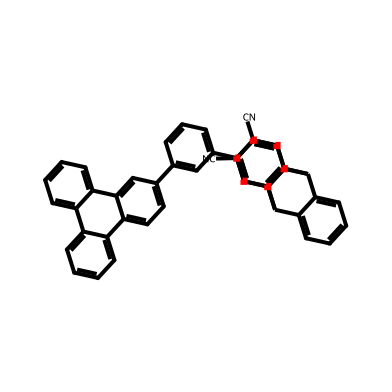 N#Cc1ccc2c(c1)C1c3ccccc3C2c2cc(C#N)c(-c3cccc(-c4ccc5c6ccccc6c6ccccc6c5c4)c3)cc21